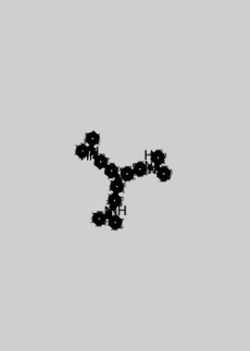 c1ccc(C(=NNc2ccc(-c3ccc(N(c4ccc(-c5ccc(NN=C(c6ccccc6)c6ccccc6)cc5)cc4)c4ccc(-c5ccc(NN=C(c6ccccc6)c6ccccc6)cc5)cc4)cc3)cc2)c2ccccc2)cc1